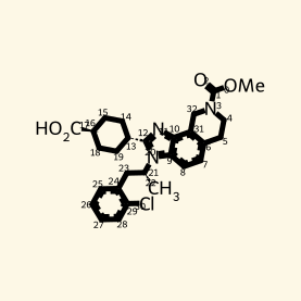 COC(=O)N1CCc2ccc3c(nc([C@H]4CC[C@H](C(=O)O)CC4)n3[C@H](C)Cc3ccccc3Cl)c2C1